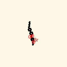 CCCCCCC1CCC(C2CCC(OC(=O)c3ccc(OCCC)c(Br)c3)CC2)CC1